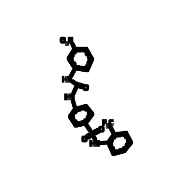 O=C(Nc1ccc(S(=O)(=O)Nc2ccccc2C(F)(F)F)cc1)Nc1cccc([N+](=O)[O-])c1